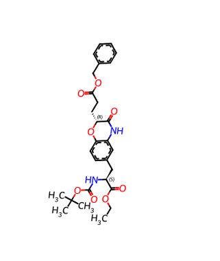 CCOC(=O)[C@H](Cc1ccc2c(c1)NC(=O)[C@@H](CCC(=O)OCc1ccccc1)O2)NC(=O)OC(C)(C)C